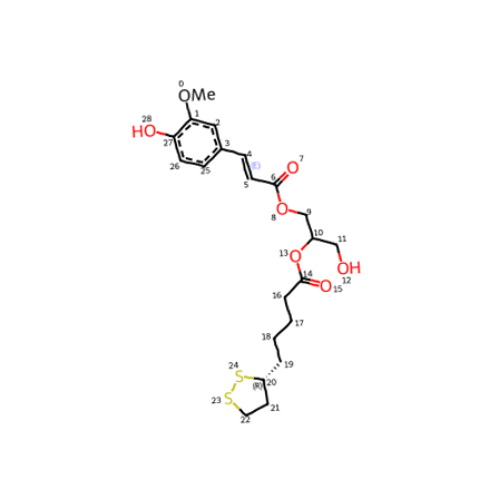 COc1cc(/C=C/C(=O)OCC(CO)OC(=O)CCCC[C@@H]2CCSS2)ccc1O